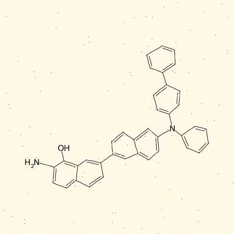 Nc1ccc2ccc(-c3ccc4cc(N(c5ccccc5)c5ccc(-c6ccccc6)cc5)ccc4c3)cc2c1O